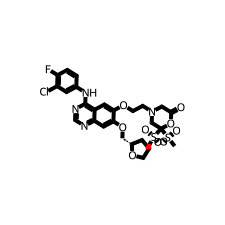 CS(=O)(=O)C1(S(C)(=O)=O)CN(CCOc2cc3c(Nc4ccc(F)c(Cl)c4)ncnc3cc2OC[C@@H]2CCCO2)CC(=O)O1